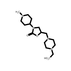 CN1CCC(N2CC(CN3CCN(CC(=O)O)CC3)OC2=O)CC1